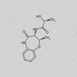 C[C@H](O)C(=O)N[C@@H]1C(=O)Nc2ccccc2O[C@@H]1C